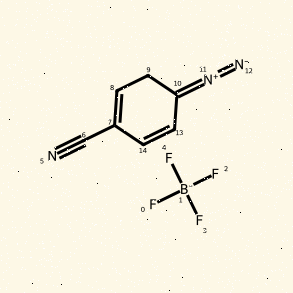 F[B-](F)(F)F.N#CC1=CCC(=[N+]=[N-])C=C1